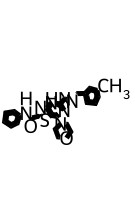 Cc1cccc(/C=N/Nc2nc(N3CCOCC3)c3sc(C(=O)Nc4ccccc4)nc3n2)c1